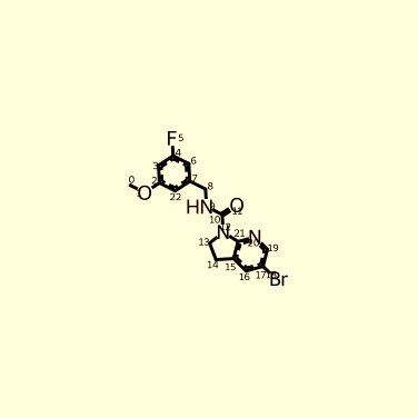 COc1cc(F)cc(CNC(=O)N2CCc3cc(Br)cnc32)c1